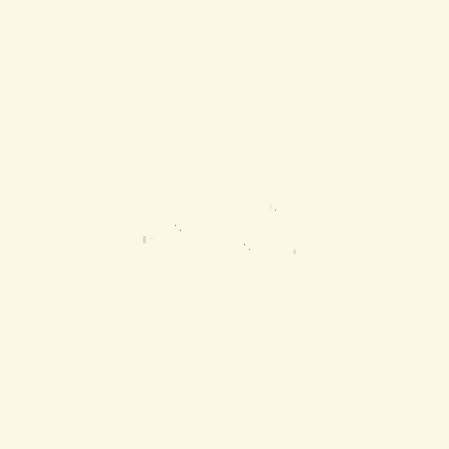 CC(C)NCc1ccnc(C(C)C)n1